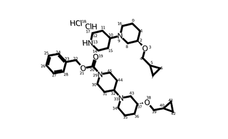 C1C[C@@H](OCC2CC2)CN(C2CCNCC2)C1.Cl.Cl.O=C(OCc1ccccc1)N1CCC(N2CCC[C@@H](OCC3CC3)C2)CC1